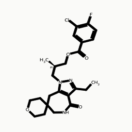 CCc1nn(C[C@@H](C)COC(=O)c2ccc(F)c(Cl)c2)c2c1C(=O)NCC1(CCOCC1)C2